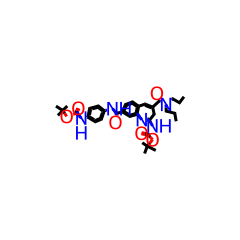 CCCN(CCC)C(=O)C1=Cc2ccc(C(=O)Nc3ccc(NC(=O)OC(C)(C)C)cc3)cc2N=C(NC(=O)OC(C)(C)C)C1